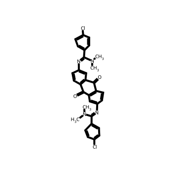 CN(C)C(=Nc1ccc2c(c1)C(=O)c1ccc(N=C(c3ccc(Cl)cc3)N(C)C)cc1C2=O)c1ccc(Cl)cc1